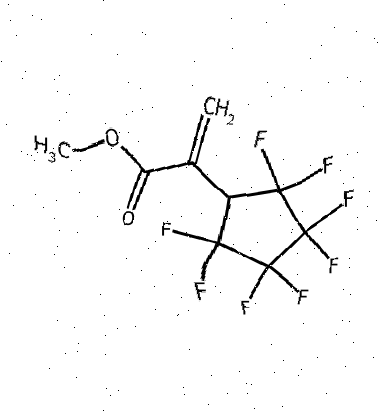 C=C(C(=O)OC)C1C(F)(F)C(F)(F)C(F)(F)C1(F)F